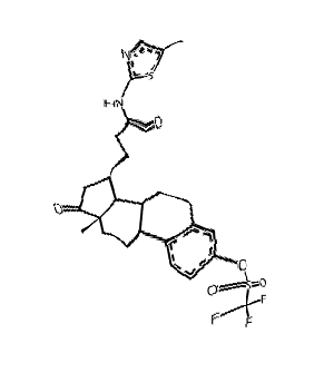 Cc1cnc(NC(=O)CC[C@@H]2CC(=O)[C@@]3(C)CCC4c5ccc(OS(=O)(=O)C(F)(F)F)cc5CCC4C23)s1